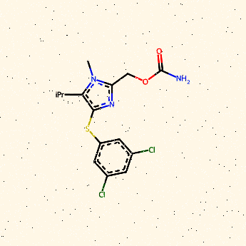 CC(C)c1c(Sc2cc(Cl)cc(Cl)c2)nc(COC(N)=O)n1C